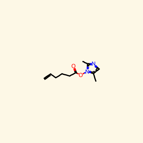 C=CCCCC(=O)On1c(C)cnc1C